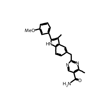 COc1cccc(-c2[nH]c3ccc(Cc4ncc(C(N)=O)c(C)n4)cc3c2C)c1